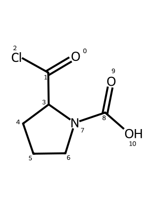 O=C(Cl)C1CCCN1C(=O)O